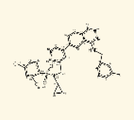 Cc1cccc(CNc2ncnc3ccc(-c4cccc(CN(C5CC5)S(=O)(=O)c5ccc(Cl)cc5Cl)c4)cc23)c1